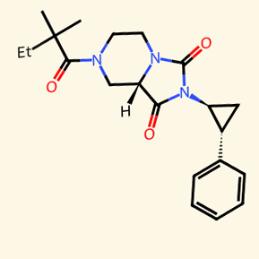 CCC(C)(C)C(=O)N1CCN2C(=O)N([C@H]3C[C@@H]3c3ccccc3)C(=O)[C@@H]2C1